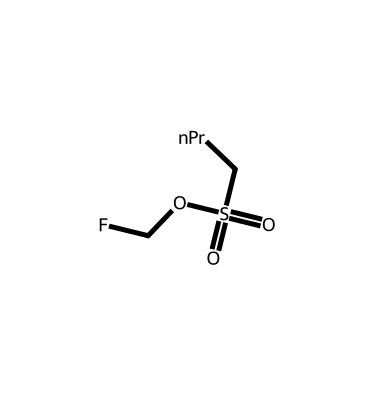 CCCCS(=O)(=O)OCF